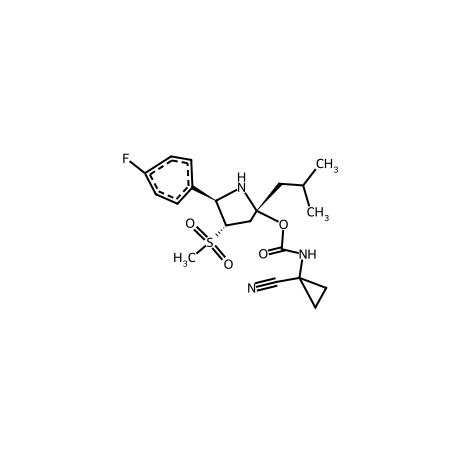 CC(C)C[C@@]1(OC(=O)NC2(C#N)CC2)C[C@H](S(C)(=O)=O)[C@@H](c2ccc(F)cc2)N1